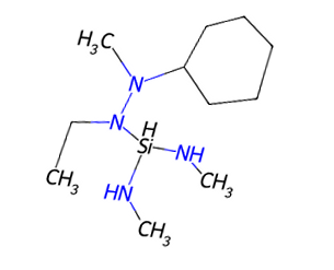 CCN(N(C)C1CCCCC1)[SiH](NC)NC